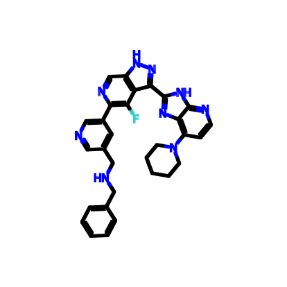 Fc1c(-c2cncc(CNCc3ccccc3)c2)ncc2[nH]nc(-c3nc4c(N5CCCCC5)ccnc4[nH]3)c12